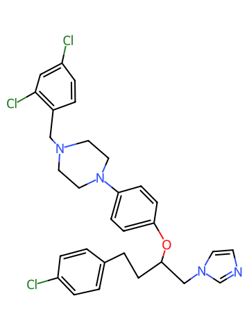 Clc1ccc(CCC(Cn2ccnc2)Oc2ccc(N3CCN(Cc4ccc(Cl)cc4Cl)CC3)cc2)cc1